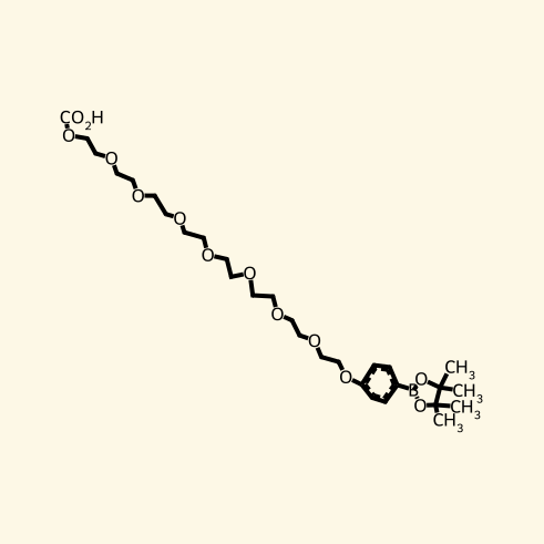 CC1(C)OB(c2ccc(OCCOCCOCCOCCOCCOCCOCCOCCOC(=O)O)cc2)OC1(C)C